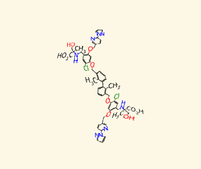 Cc1c(COc2cc(OCc3ccc(-n4cccn4)nc3)c(CNC(C)(CO)C(=O)O)cc2Cl)cccc1-c1cccc(COc2cc(OCc3ccc(-n4cccn4)nc3)c(CNC(C)(CO)C(=O)O)cc2Cl)c1C